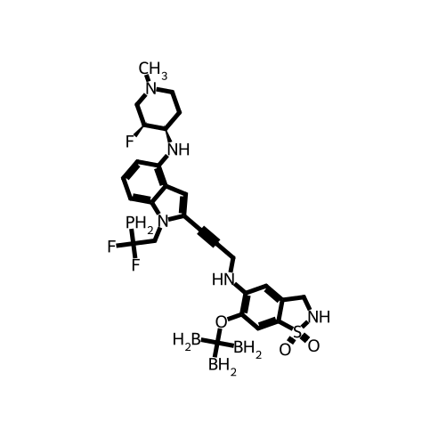 BC(B)(B)Oc1cc2c(cc1NCC#Cc1cc3c(N[C@@H]4CCN(C)C[C@@H]4F)cccc3n1CC(F)(F)P)CNS2(=O)=O